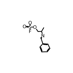 CC(COS(=O)(=O)F)/N=C/c1ccccc1